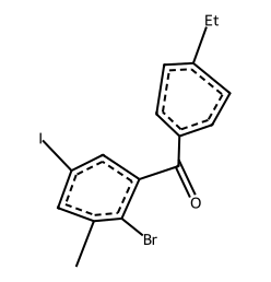 CCc1ccc(C(=O)c2cc(I)cc(C)c2Br)cc1